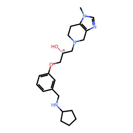 Cn1cnc2c1CCN(C[C@@H](O)COc1cccc(CNC3CCCC3)c1)C2